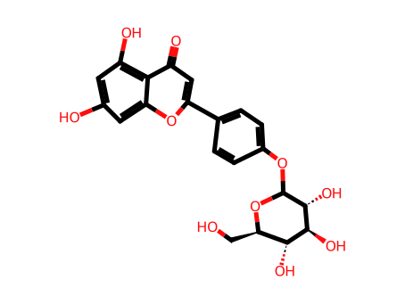 O=c1cc(-c2ccc(OC3O[C@H](CO)[C@@H](O)[C@H](O)[C@H]3O)cc2)oc2cc(O)cc(O)c12